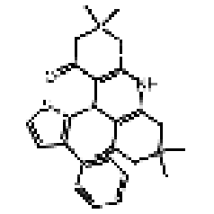 CC1(C)CC(=O)C2=C(C1)NC1=C(C(=O)CC(C)(C)C1)C2c1sccc1-c1ccccc1